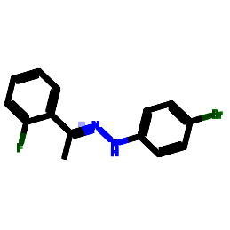 C/C(=N\Nc1ccc(Br)cc1)c1ccccc1F